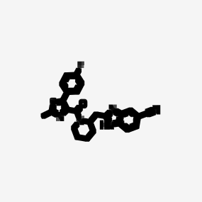 Cc1nc(C(=O)N2CCCCC2Cc2nc3cc(C#N)ccc3[nH]2)c(-c2ccc(F)cc2)s1